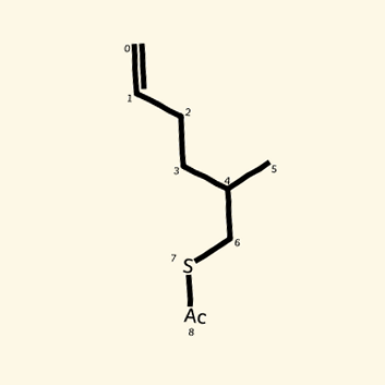 C=CCCC(C)CSC(C)=O